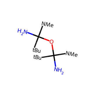 CNC(N)(OC(N)(NC)C(C)(C)C)C(C)(C)C